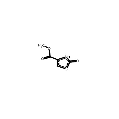 COC(=O)c1csc(=O)[nH]1